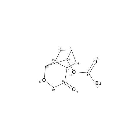 CCC(C)C(=O)OC1C2CC3C(=O)COC1C3C2